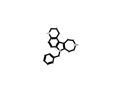 c1ccc(Cn2c3c(c4c5c(ccc42)OCCC5)CCNCC3)cc1